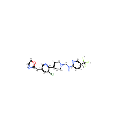 FC(F)(F)c1ccc(NCN2CC=C(c3ncc(Cc4ncco4)cc3Cl)CC2)nc1